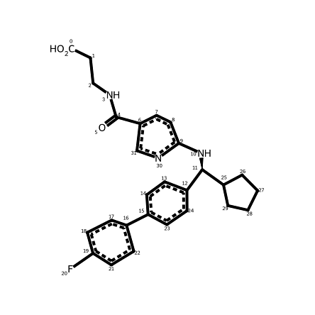 O=C(O)CCNC(=O)c1ccc(N[C@H](c2ccc(-c3ccc(F)cc3)cc2)C2CCCC2)nc1